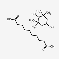 CC1(C)CC(O)CC(C)(C)N1O.O=C(O)CCCCCCCCC(=O)O